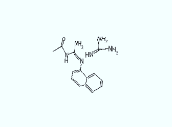 CC(=O)NC(N)=Nc1cccc2ccccc12.N=C(N)N